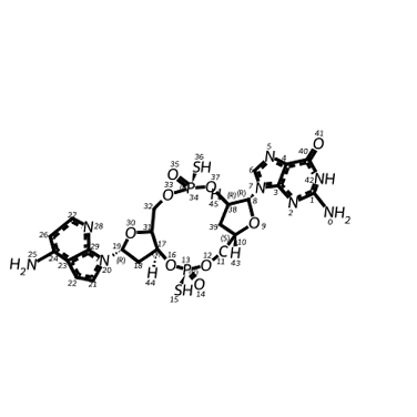 Nc1nc2c(ncn2[C@@H]2O[C@@H]3CO[P@@](=O)(S)O[C@H]4C[C@H](n5ccc6c(N)ccnc65)OC4CO[P@@](=O)(S)O[C@@H]2C3)c(=O)[nH]1